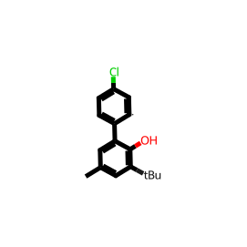 Cc1cc(-c2[c]cc(Cl)cc2)c(O)c(C(C)(C)C)c1